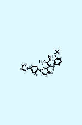 C/C(C=N)=C(/Nc1cccc(OC(F)(F)F)c1)c1nn(-c2ccc(-n3cccn3)cc2F)ccc1=O